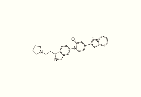 O=c1cc(-c2cc3ccccc3s2)ccn1-c1ccc2c(c1)C=NC2CCN1CCCC1